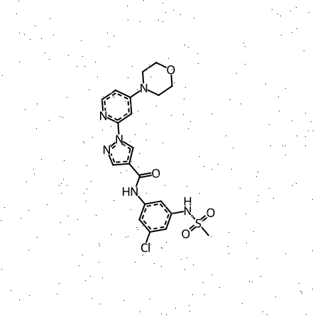 CS(=O)(=O)Nc1cc(Cl)cc(NC(=O)c2cnn(-c3cc(N4CCOCC4)ccn3)c2)c1